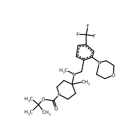 CN(Cc1ccc(C(F)(F)F)cc1N1CCOCC1)C1(C)CCN(C(=O)OC(C)(C)C)CC1